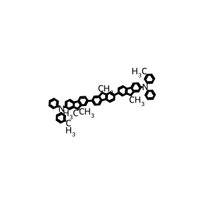 Cc1cccc(N(c2ccccc2)c2ccc3c(c2)C(C)c2cc(-c4ccc5c(c4)C(C)c4cc(-c6ccc7c(c6)C(C)(C)c6cc(N(c8ccccc8)c8cccc(C)c8)ccc6-7)ccc4-5)ccc2-3)c1